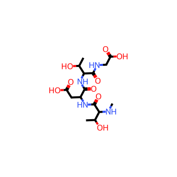 CNC(C(=O)NC(CC(=O)O)C(=O)NC(C(=O)NCC(=O)O)C(C)O)C(C)O